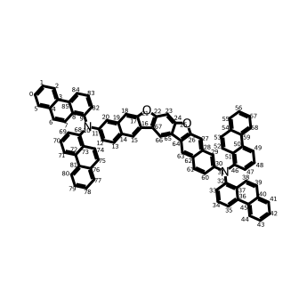 c1ccc2c(c1)ccc1c(N(c3ccc4cc5c(cc4c3)oc3cc4oc6cc7cc(N(c8cccc9c8ccc8ccccc89)c8cccc9c8ccc8ccccc89)ccc7cc6c4cc35)c3cccc4c3ccc3ccccc34)cccc12